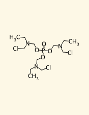 CCN(CCl)COP(=O)(OCN(CC)CCl)OCN(CC)CCl